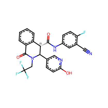 N#Cc1cc(NC(=O)[C@H]2c3ccccc3C(=O)N(CC(F)(F)F)C2c2ccc(O)nc2)ccc1F